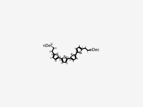 CCCCCCCCCCCCc1ccc(-c2ccc(-c3ccc(-c4ccc(CCCCCCCCCCCC)s4)s3)s2)s1